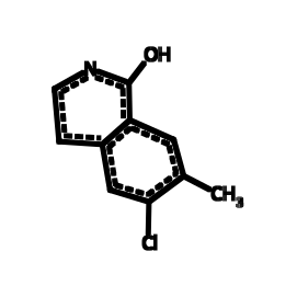 Cc1cc2c(O)nccc2cc1Cl